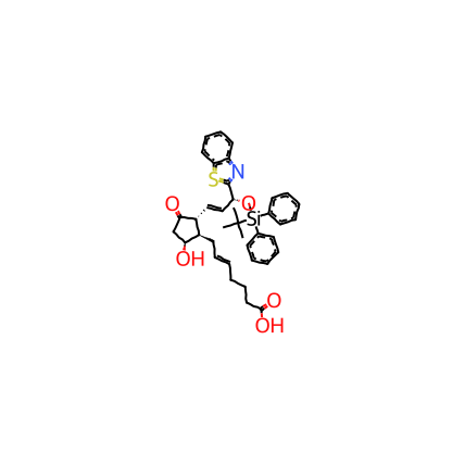 CC(C)(C)[Si](O[C@H](C=C[C@H]1C(=O)C[C@H](O)[C@@H]1CC=CCCCC(=O)O)c1nc2ccccc2s1)(c1ccccc1)c1ccccc1